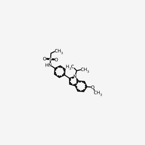 CCS(=O)(=O)Nc1ccc(-c2cc3ccc(OC)cc3n2C(C)C)cc1